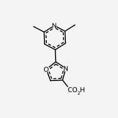 Cc1cc(-c2nc(C(=O)O)co2)cc(C)n1